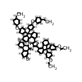 C=COc1ccc(C2(c3ccc(OC=C)cc3)c3ccccc3-c3c(-c4sc(-c5cccc6c5-c5ccccc5C6(c5ccc(Oc6ccc(C=C)cc6)cc5)c5ccc(Oc6ccc(C=C)cc6)cc5)c5nc6c7cc(Br)ccc7c7ccc(Br)cc7c6nc45)cccc32)cc1